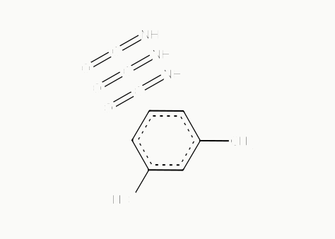 Cc1cccc(C)c1.N=C=O.N=C=O.N=C=O